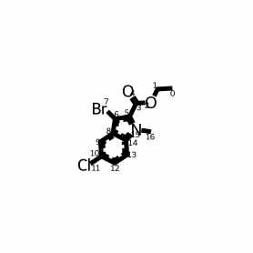 CCOC(=O)c1c(Br)c2cc(Cl)ccc2n1C